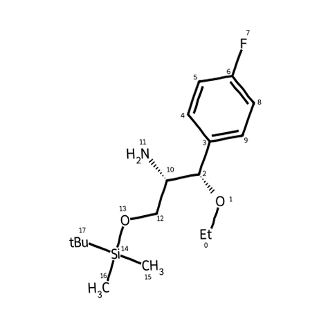 CCO[C@@H](c1ccc(F)cc1)[C@@H](N)CO[Si](C)(C)C(C)(C)C